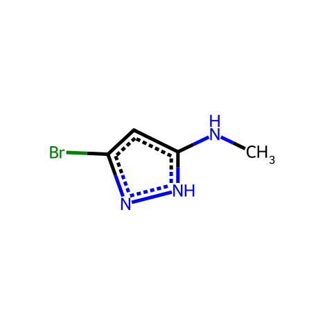 CNc1cc(Br)n[nH]1